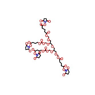 O=C(CCCC(=O)ON1C(=O)CCC1=O)OCOCC(COCC(COCOC(=O)CCCC(=O)ON1C(=O)CCC1=O)OCOC(=O)OCCCC(=O)ON1C(=O)CCC1=O)OCOC(=O)OCCCC(=O)ON1C(=O)CCC1=O